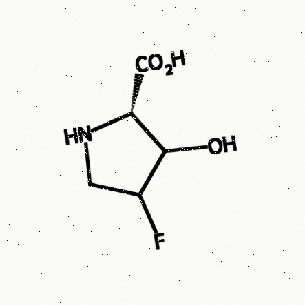 O=C(O)[C@H]1NCC(F)C1O